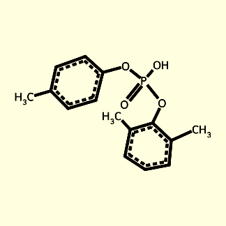 Cc1ccc(OP(=O)(O)Oc2c(C)cccc2C)cc1